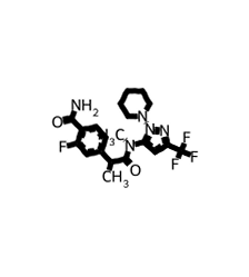 CC(C(=O)N(C)c1cc(C(F)(F)F)nn1N1CCCCC1)c1ccc(C(N)=O)c(F)c1